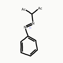 CC(=O)C(/N=N/c1ccccc1)C(C)=O